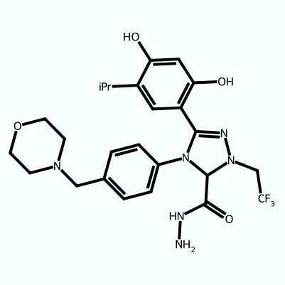 CC(C)c1cc(C2=NN(CC(F)(F)F)C(C(=O)NN)N2c2ccc(CN3CCOCC3)cc2)c(O)cc1O